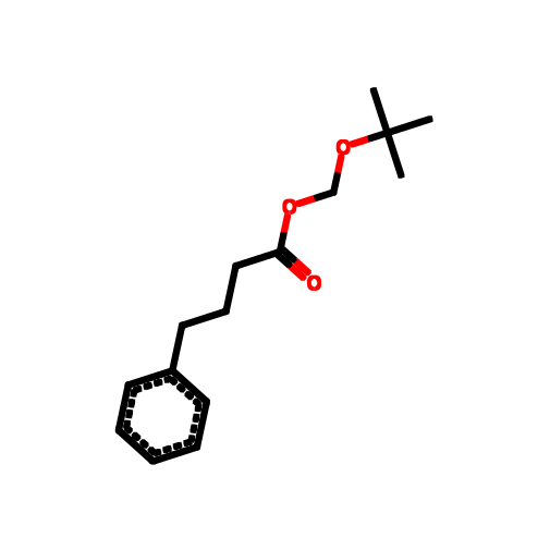 CC(C)(C)OCOC(=O)CCCc1ccccc1